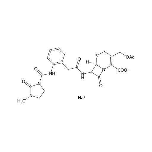 CC(=O)OCC1=C(C(=O)[O-])N2C(=O)C(NC(=O)Cc3ccccc3NC(=O)N3CCN(C)C3=O)[C@H]2SC1.[Na+]